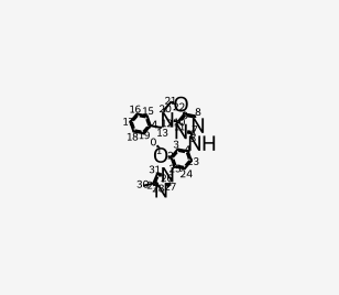 COc1cc(Nc2ncc3c(n2)N(Cc2ccccc2)CCO3)ccc1-n1cnc(C)c1